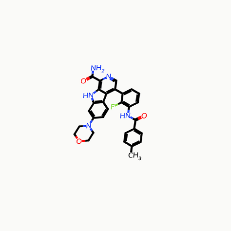 Cc1ccc(C(=O)Nc2cccc(-c3cnc(C(N)=O)c4[nH]c5cc(N6CCOCC6)ccc5c34)c2F)cc1